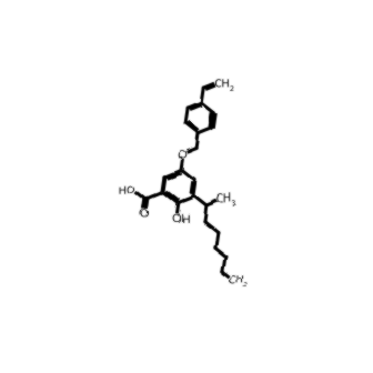 C=Cc1c#cc(COc2cc(C(=O)O)c(O)c(C(C)CCCCCC)c2)cc1